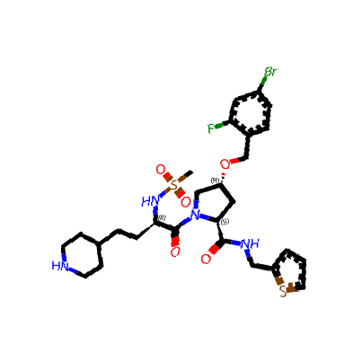 CS(=O)(=O)N[C@H](CCC1CCNCC1)C(=O)N1C[C@H](OCc2ccc(Br)cc2F)C[C@H]1C(=O)NCc1cccs1